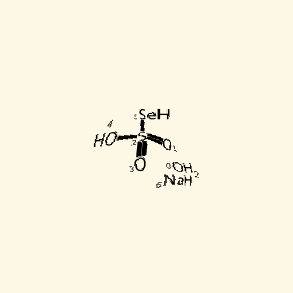 O.O=S(=O)(O)[SeH].[NaH]